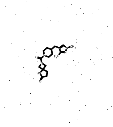 Cn1cc(CC2CCN(C(=O)N3CC4(CCC(=O)N4)C3)CC2)c(C(F)(F)F)n1